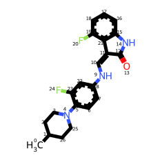 CC1CCN(c2ccc(NC=C3C(=O)Nc4cccc(F)c43)cc2F)CC1